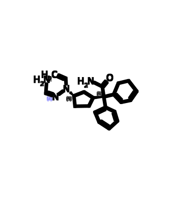 C=CN(/N=C\N)[C@H]1CCC([C@@](C(N)=O)(C2=CC=CCC2)c2ccccc2)C1